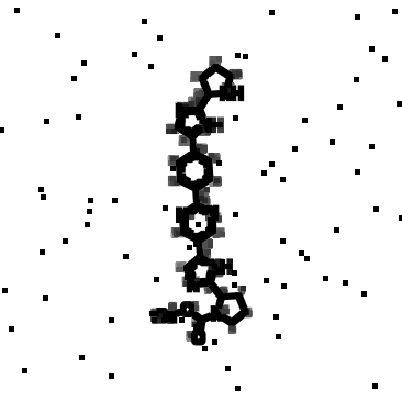 CC(C)(C)OC(=O)N1CCCC1c1ncc(-c2cnc(-c3ccc(-c4cnc(C5CCCN5)[nH]4)cc3)nc2)[nH]1